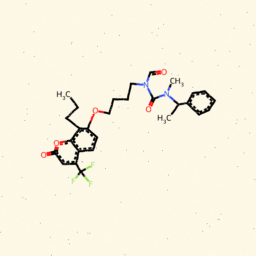 CCCc1c(OCCCCN(C=O)C(=O)N(C)C(C)c2ccccc2)ccc2c(C(F)(F)F)cc(=O)oc12